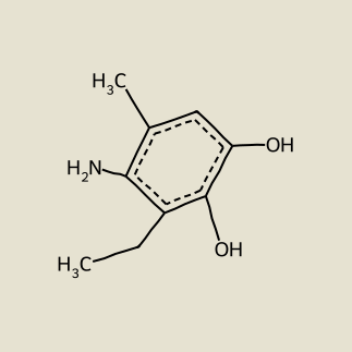 CCc1c(N)c(C)cc(O)c1O